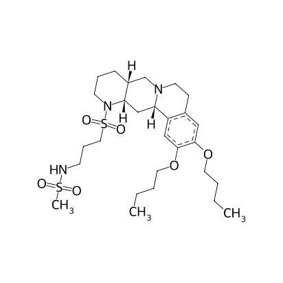 CCCCOc1cc2c(cc1OCCCC)[C@@H]1C[C@H]3[C@H](CCCN3S(=O)(=O)CCCNS(C)(=O)=O)CN1CC2